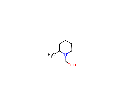 CC1CCCCN1CO